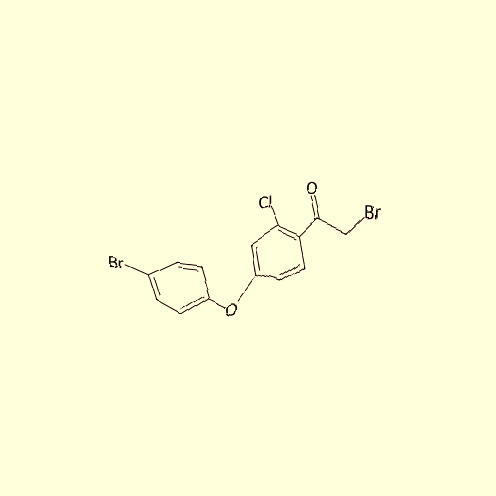 O=C(CBr)c1ccc(Oc2ccc(Br)cc2)cc1Cl